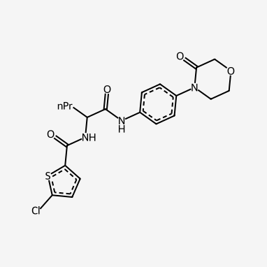 CCCC(NC(=O)c1ccc(Cl)s1)C(=O)Nc1ccc(N2CCOCC2=O)cc1